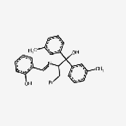 Cc1cccc(C(O)(c2cccc(C)c2)C(CC(C)C)N=Cc2ccccc2O)c1